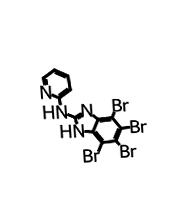 Brc1c(Br)c(Br)c2[nH]c(Nc3ccccn3)nc2c1Br